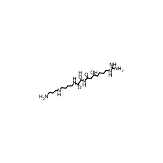 N=C(N)NCCCC[C@H](O)CC(=O)NC(O)C(=O)NCCCCNCCCN